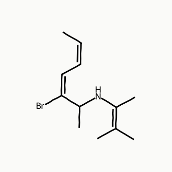 C/C=C\C=C(\Br)C(C)NC(C)=C(C)C